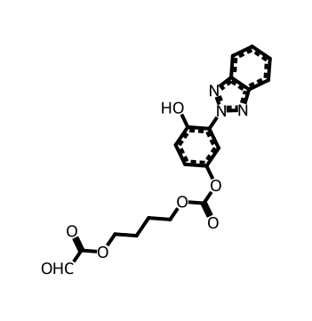 O=CC(=O)OCCCCOC(=O)Oc1ccc(O)c(-n2nc3ccccc3n2)c1